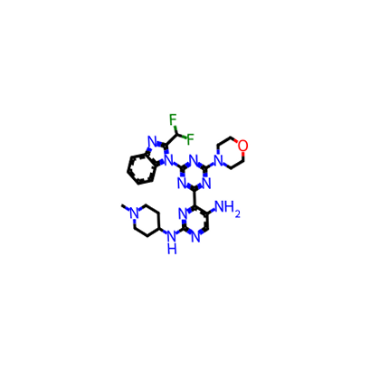 CN1CCC(Nc2ncc(N)c(-c3nc(N4CCOCC4)nc(-n4c(C(F)F)nc5ccccc54)n3)n2)CC1